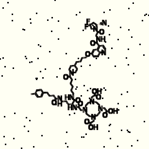 Cc1ccc(CCCC(=O)NCCC[C@H](NC(=O)CN2CCN(CC(=O)O)CCN(CC(=O)O)CCN(CC(=O)O)CC2)C(=O)NCCCCCC(=O)N2CCC(CCCCOc3ccc4nccc(C(=O)NCC(=O)N5CC(F)(F)C[C@@H]5C#N)c4c3)CC2)cc1